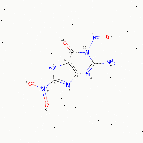 Nc1nc2nc([N+](=O)[O-])[nH]c2c(=O)n1N=O